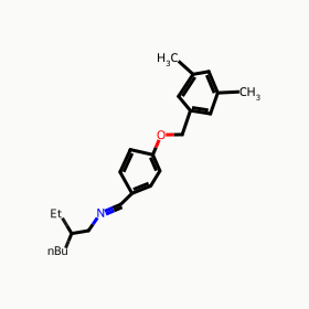 CCCCC(CC)CN=Cc1ccc(OCc2cc(C)cc(C)c2)cc1